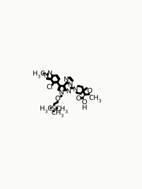 C[C@@H]1OCC2(CCN(c3nc4c(c(-c5ccc6nn(C)cc6c5Cl)cn4COCC[Si](C)(C)C)c4nccn34)CC2)[C@@H]1C(=O)O